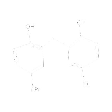 CCCc1ccc(O)c(Cc2cc(CC)ccc2O)c1